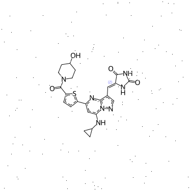 O=C1NC(=O)/C(=C/c2cnn3c(NC4CC4)cc(-c4ccc(C(=O)N5CCC(O)CC5)s4)nc23)N1